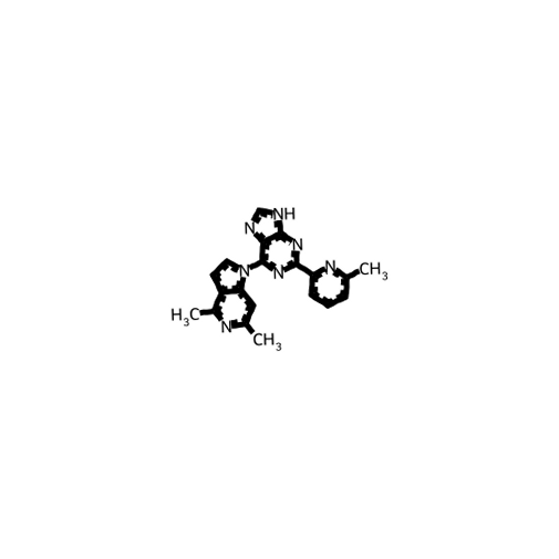 Cc1cccc(-c2nc(-n3ccc4c(C)nc(C)cc43)c3nc[nH]c3n2)n1